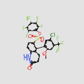 COc1cc(C(F)(F)F)c(Cl)cc1-c1c(S(=O)(=O)Oc2c(F)c(F)c(F)c(F)c2F)ccc2[nH]c(=O)ccc12